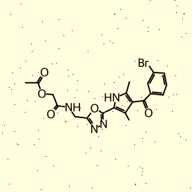 CC(=O)OCC(=O)NCc1nnc(-c2[nH]c(C)c(C(=O)c3cccc(Br)c3)c2C)o1